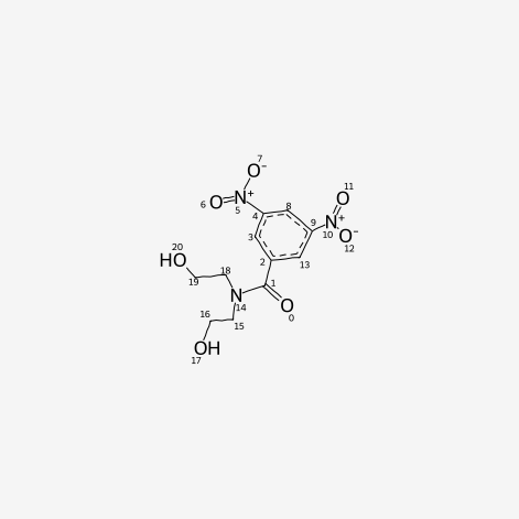 O=C(c1cc([N+](=O)[O-])cc([N+](=O)[O-])c1)N(CCO)CCO